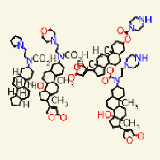 CC12CCC(N(CCN3CCNCC3)C(=O)OC34CCC(C5=CC(=O)OC5)C3(C)CCC3C4CCC4CC(OC(=O)N5CCNCC5)CCC43C)CC1CCC1C2CCC2(C)C(C3=CC(=O)OC3)CCC12O.CC12CCC(N(CCN3CCOCC3)C(=O)O)CC1CCC1C2CCC2(C)C(C3=CC(=O)OC3)CCC12O.O=C(O)N(CCN1CCCC1)[C@H]1CC[C@H]2[C@H](CC[C@H]3[C@H]2CC[C@H]2CCC[C@@H]23)C1